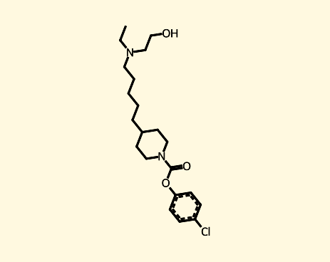 CCN(CCO)CCCCCC1CCN(C(=O)Oc2ccc(Cl)cc2)CC1